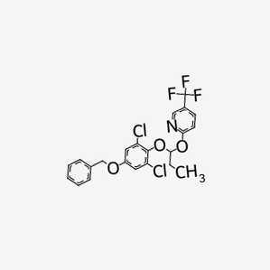 CCC(Oc1ccc(C(F)(F)F)cn1)Oc1c(Cl)cc(OCc2ccccc2)cc1Cl